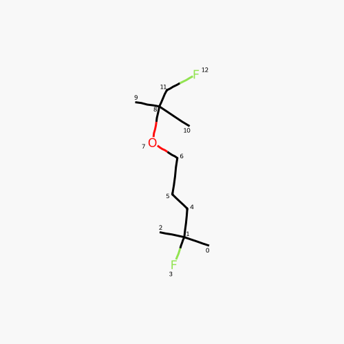 CC(C)(F)CCCOC(C)(C)CF